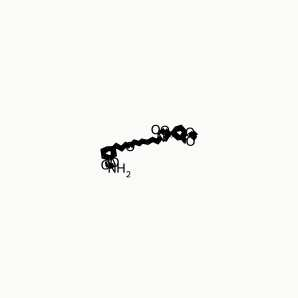 CC1(C)OCc2cc([C@@H]3CN(CCCCCCOCCCc4cccc(S(N)(=O)=O)c4)C(=O)O3)ccc2O1